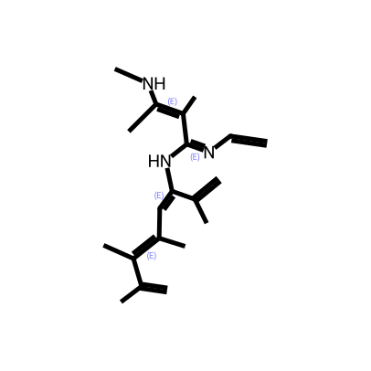 C=C/N=C(N/C(=C/C(C)=C(\C)C(=C)C)C(=C)C)\C(C)=C(/C)NC